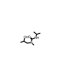 CC(O)CN(C)C(=O)NC(C)C